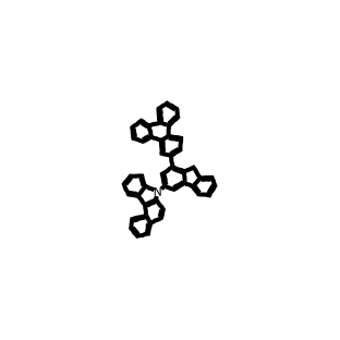 c1ccc2c(c1)Cc1c(-c3ccc4c5ccccc5c5ccccc5c4c3)cc(-n3c4ccccc4c4c5ccccc5ccc43)cc1-2